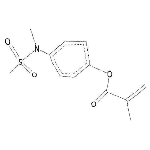 C=C(C)C(=O)Oc1ccc(N(C)S(C)(=O)=O)cc1